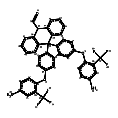 Nc1ccc(Oc2ccc(C3(c4ccc(Oc5ccc(N)cc5C(F)(F)F)cc4)c4ccccc4C(C=O)c4ccccc43)cc2)c(C(F)(F)F)c1